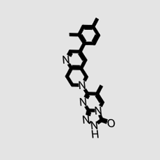 Cc1ccc(-c2cnc3c(c2)CN(c2nc4n[nH]c(=O)n4cc2C)CC3)c(C)c1